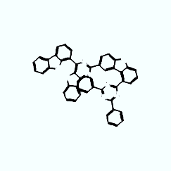 c1ccc(-c2nc(-c3ccccc3)nc(-c3cccc4sc5ccc(-c6nc(-c7cccc8c7sc7ccccc78)c7sc8ccccc8c7n6)cc5c34)n2)cc1